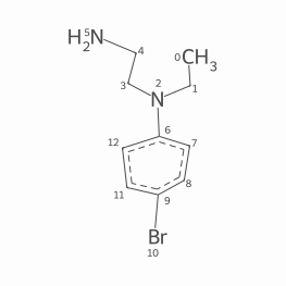 CCN(CCN)c1ccc(Br)cc1